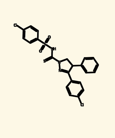 O=S(=O)(NC(=S)N1CC(c2ccccc2)C(c2ccc(Cl)cc2)=N1)c1ccc(Cl)cc1